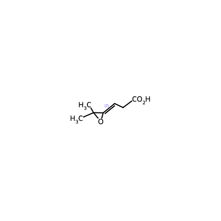 CC1(C)O/C1=C\CC(=O)O